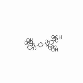 O=S(=O)(O)c1cc(S(=O)(=O)O)c2nc(-c3ccc(-c4nc5c(S(=O)(=O)O)cccc5o4)cc3)oc2c1